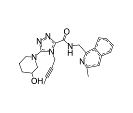 CC#CCn1c(C(=O)NCc2nc(C)cc3ccccc23)nnc1N1CCCC(O)C1